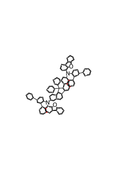 c1ccc(-c2ccc(N(c3ccc4c5c(ccc4c3)-c3ccc4cc(N(c6ccc(-c7ccccc7)cc6-c6ccccc6)c6cccc7c6oc6ccccc67)ccc4c3C5(c3ccccc3)c3ccccc3)c3cccc4c3oc3ccccc34)c(-c3ccccc3)c2)cc1